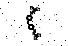 CCN(CC)N=Nc1ccc(Cc2ccc(N=NN(CC)CC)cc2)cc1